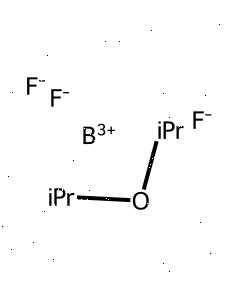 CC(C)OC(C)C.[B+3].[F-].[F-].[F-]